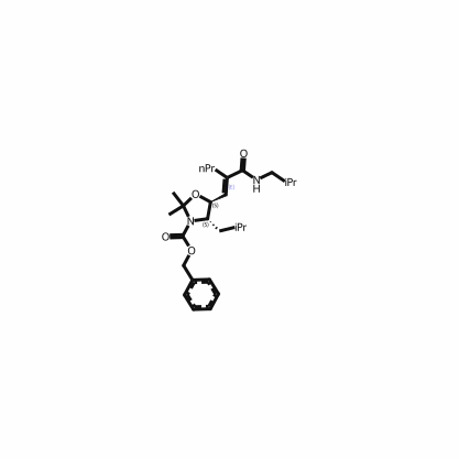 CCC/C(=C\[C@@H]1OC(C)(C)N(C(=O)OCc2ccccc2)[C@H]1CC(C)C)C(=O)NCC(C)C